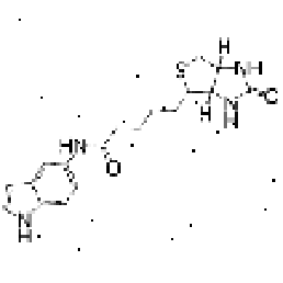 O=C(CCCC[C@@H]1SC[C@@H]2NC(=O)N[C@@H]21)Nc1ccc2[nH]ccc2c1